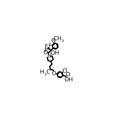 COc1cccc([C@@](O)(C(=O)N2CCC(CC[C@H](C)COc3ccc(C(=O)O)c(Cl)c3)CC2)C(F)(F)F)c1